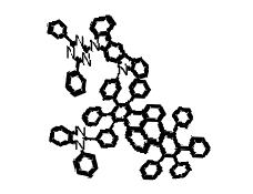 c1ccc(-c2nc(-c3ccccc3)nc(-n3c4ccccc4c4cc5c6ccccc6n(-c6cccc(-c7c(-c8ccccc8)c(-c8cccc(-c9nc%10ccccc%10n9-c9ccccc9)c8)c8c9cccc%10c%11c(-c%12ccccc%12)c(-c%12ccccc%12)c(-c%12ccccc%12)c(-c%12ccccc%12)c%11c%11cccc(c8c7-c7ccccc7)c%11c%109)c6)c5cc43)n2)cc1